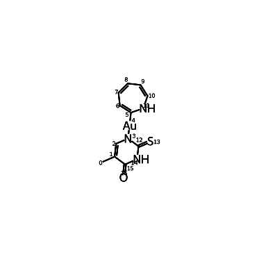 Cc1c[n]([Au][C]2=CC=CC=CN2)c(=S)[nH]c1=O